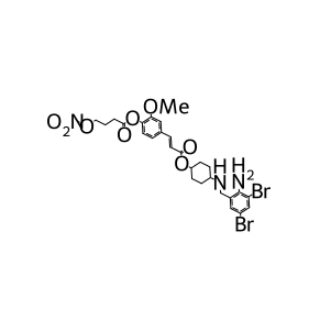 COc1cc(/C=C/C(=O)OC2CCC(NCc3cc(Br)cc(Br)c3N)CC2)ccc1OC(=O)CCCO[N+](=O)[O-]